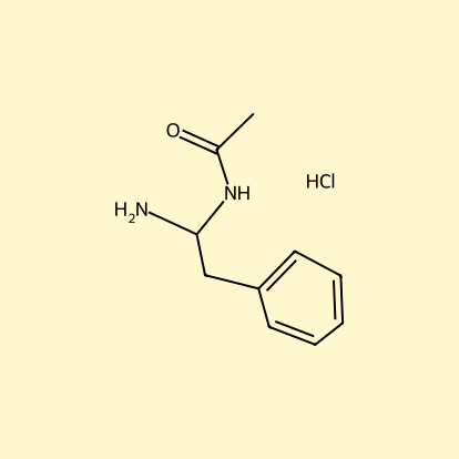 CC(=O)NC(N)Cc1ccccc1.Cl